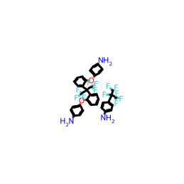 Nc1ccc(C(F)(C(F)F)C(F)(F)F)cc1.Nc1ccc(Oc2ccccc2C(c2ccccc2Oc2ccc(N)cc2)(C(F)(F)F)C(F)(F)F)cc1